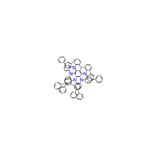 c1ccc(-c2ccc(N(c3ccc(-c4ccccc4)cc3)c3c(-n4c5ccc(-c6ccccc6)cc5c5cc(-c6ccccc6)ccc54)c(N(c4ccc(-c5ccccc5)cc4)c4ccc(-c5ccccc5)cc4)c4c5c3-n3c6ccccc6c6cccc(c63)C5c3cccc5c6ccccc6n-4c35)cc2)cc1